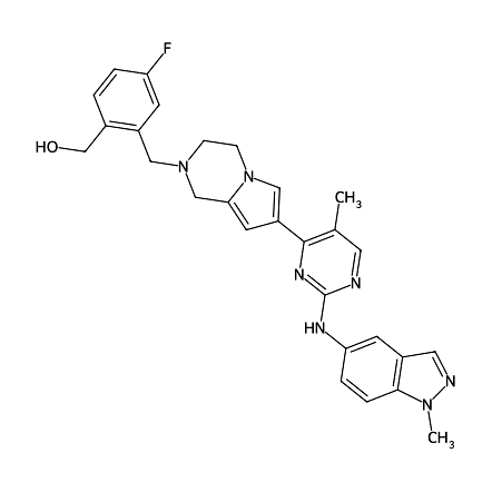 Cc1cnc(Nc2ccc3c(cnn3C)c2)nc1-c1cc2n(c1)CCN(Cc1cc(F)ccc1CO)C2